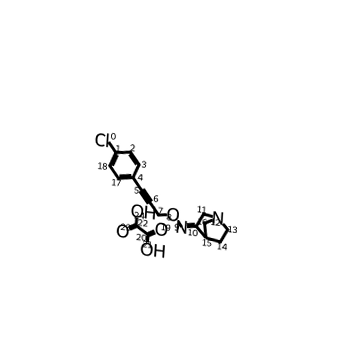 Clc1ccc(C#CCO/N=C2\CN3CCC2C3)cc1.O=C(O)C(=O)O